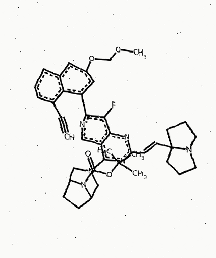 C#Cc1cccc2cc(OCOC)cc(-c3ncc4c(N5CC6CCC(C5)N6C(=O)OC(C)(C)C)nc(/C=C/C56CCCN5CCC6)nc4c3F)c12